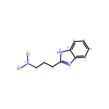 CCN(CC)CCCc1nc2ccccc2[nH]1